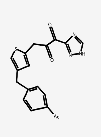 CC(=O)c1ccc(Cc2csc(CC(=O)C(=O)c3nc[nH]n3)c2)cc1